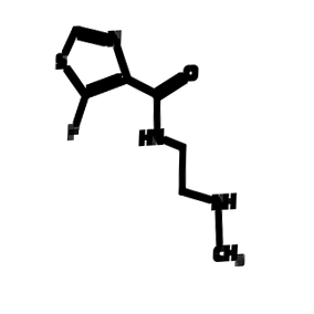 CNCCNC(=O)c1ncsc1F